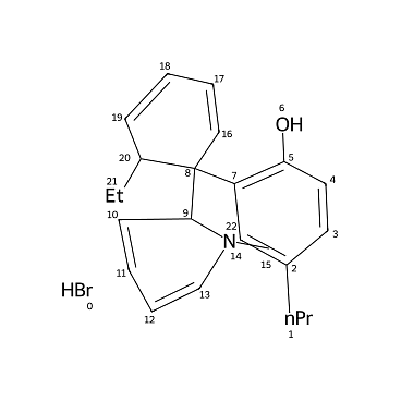 Br.CCCc1ccc(O)c(C2(C3C=CC=CN3C)C=CC=CC2CC)c1